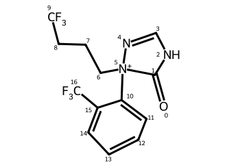 O=C1NC=N[N+]1(CCCC(F)(F)F)c1ccccc1C(F)(F)F